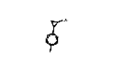 CC(C)(C)C1CC1c1ccc(F)cc1